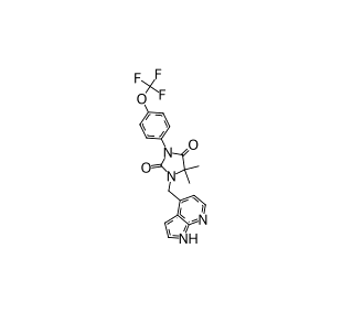 CC1(C)C(=O)N(c2ccc(OC(F)(F)F)cc2)C(=O)N1Cc1ccnc2[nH]ccc12